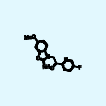 COc1ccc2c(c1)oc(=N)n2CC(=O)c1ccc(F)cn1